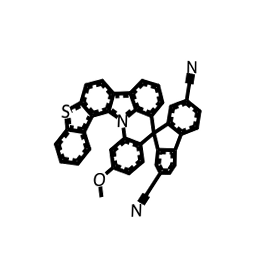 COc1ccc2c(c1)-n1c3c(cccc3c3ccc4sc5ccccc5c4c31)C21c2cc(C#N)ccc2-c2ccc(C#N)cc21